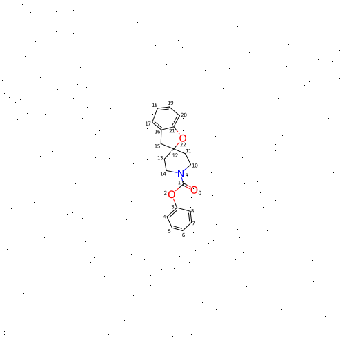 O=C(Oc1ccccc1)N1CCC2(CC1)Cc1ccccc1O2